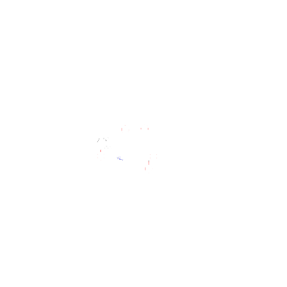 CCCCCCCOCCOCC[C@H]1C=CC(=O)[C@@H]1C/C=C\CCCC(=O)OC(C)C